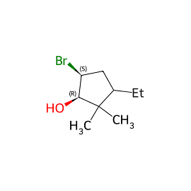 CCC1C[C@H](Br)[C@H](O)C1(C)C